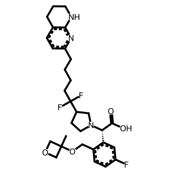 CC1(OCc2ccc(F)cc2[C@@H](C(=O)O)N2CCC(C(F)(F)CCCCc3ccc4c(n3)NCCC4)C2)COC1